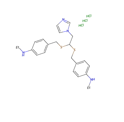 CCNc1ccc(CSC(Cn2ccnc2)SCc2ccc(NCC)cc2)cc1.Cl.Cl.Cl